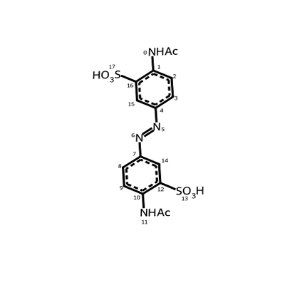 CC(=O)Nc1ccc(N=Nc2ccc(NC(C)=O)c(S(=O)(=O)O)c2)cc1S(=O)(=O)O